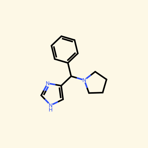 c1ccc(C(c2c[nH]cn2)N2CCCC2)cc1